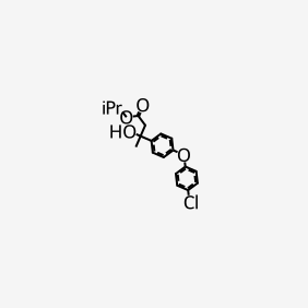 CC(C)OC(=O)CC(C)(O)c1ccc(Oc2ccc(Cl)cc2)cc1